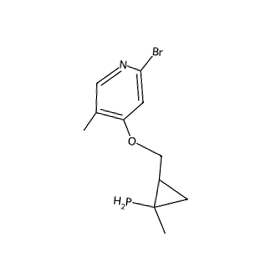 Cc1cnc(Br)cc1OCC1CC1(C)P